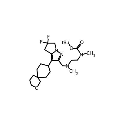 CN(CCN(C)C(=O)OC(C)(C)C)Cc1nn2c(c1C1CCC3(CCCOC3)CC1)CC(F)(F)C2